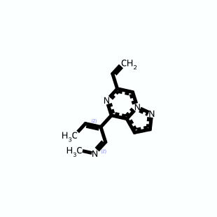 C=Cc1cn2nccc2c(C(/C=N\C)=C/C)n1